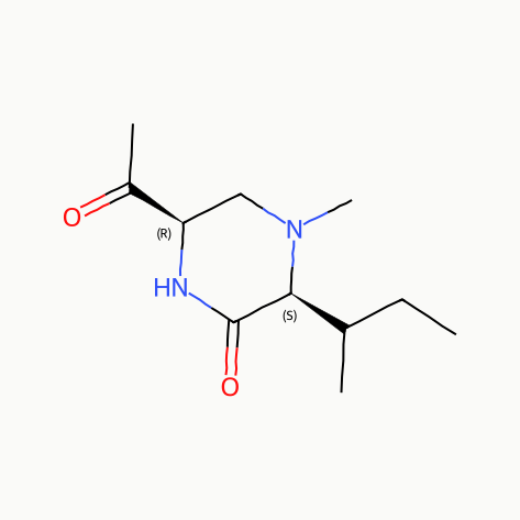 CCC(C)[C@H]1C(=O)N[C@@H](C(C)=O)CN1C